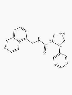 O=C(NCc1cccc2cnccc12)[C@@H]1CNC[C@H]1c1ccccc1